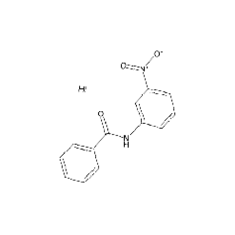 I.O=C(Nc1cccc([N+](=O)[O-])c1)c1ccccc1